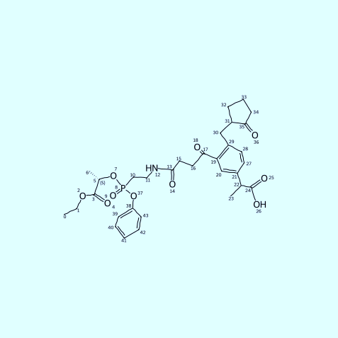 CCOC(=O)[C@H](C)OP(=O)(CCNC(=O)CCC(=O)c1cc(C(C)C(=O)O)ccc1CC1CCCC1=O)Oc1ccccc1